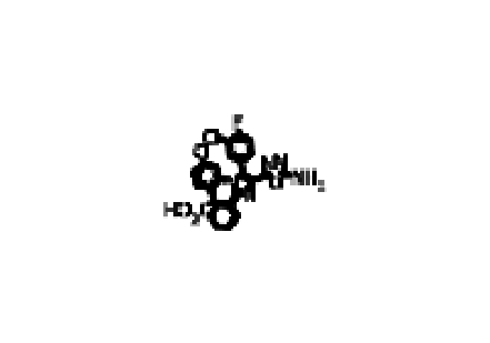 Nc1nnc(-c2nc(C3CCCCC3)n(-c3cc(Cl)ccc3CC(=O)O)c2-c2ccc(F)c(Cl)c2)o1